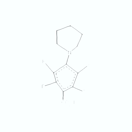 O=C(O)c1c(F)c(F)c(N2CCCCC2)c(F)c1F